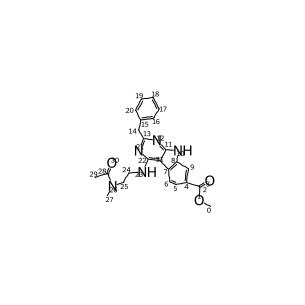 COC(=O)c1ccc2c(c1)[nH]c1nc(Cc3ccccc3)nc(NCCN(C)C(C)=O)c12